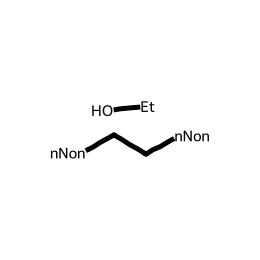 CCCCCCCCCCCCCCCCCCCC.CCO